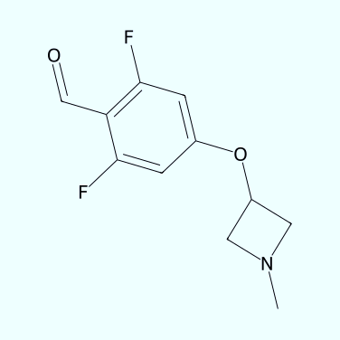 CN1CC(Oc2cc(F)c(C=O)c(F)c2)C1